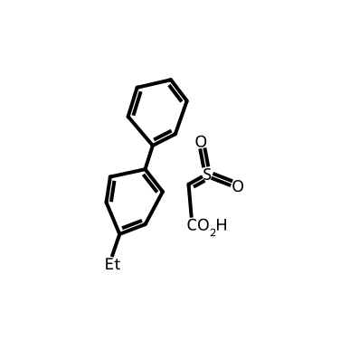 CCc1ccc(-c2ccccc2)cc1.O=C(O)C=S(=O)=O